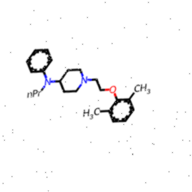 CCCN(c1ccccc1)C1CCN(CCOc2c(C)cccc2C)CC1